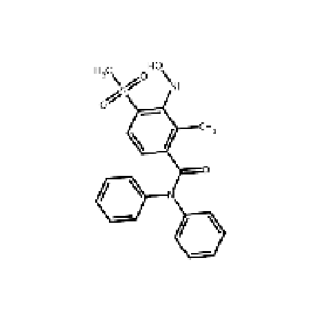 Cc1c(C(=O)N(c2ccccc2)c2ccccc2)ccc(S(C)(=O)=O)c1NO